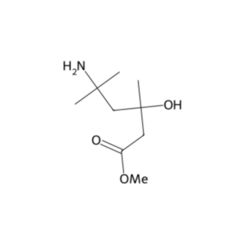 COC(=O)CC(C)(O)CC(C)(C)N